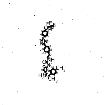 Cc1ccc(C(C)C)c(N2C(=O)CSC2=NC(=O)NCCc2ccc(-c3ncn(-c4ccc(OC(F)(F)C(F)(F)F)cc4)n3)cc2)c1